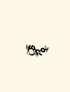 CCOC(=O)c1c(CCc2ccc(C(F)(F)F)cc2)c2cccc3c2n1CCCCOCc1nn(C)c(C)c1-3